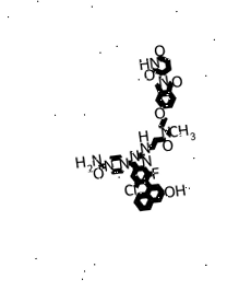 CN(CCOc1ccc2c(c1)CN(C1CCC(=O)NC1=O)C2=O)C(=O)CCNc1nc(N2CCN(C(N)=O)CC2)c2cc(Cl)c(-c3cc(O)cc4ccccc34)c(F)c2n1